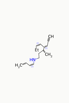 C#C/C=C(\C=C/CC)C(=C)CCN/C=C\C=C